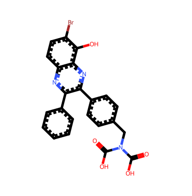 O=C(O)N(Cc1ccc(-c2nc3c(O)c(Br)ccc3nc2-c2ccccc2)cc1)C(=O)O